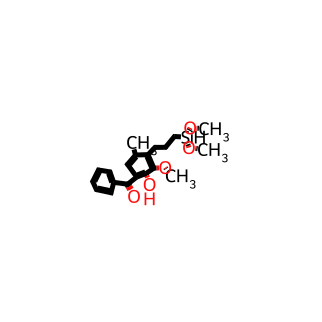 COc1c(O)c(C(=O)c2ccccc2)cc(C)c1CCC[SiH](OC)OC